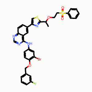 CC(OCCS(=O)(=O)c1ccccc1)c1nc(-c2ccc3ncnc(Nc4ccc(OCc5cccc(F)c5)c(Br)c4)c3c2)cs1